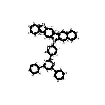 c1ccc(-c2cc(-c3ccccc3)nc(-c3ccc(-n4c5cc6ccccc6cc5c5cc6oc7ccccc7c6cc54)nc3)n2)cc1